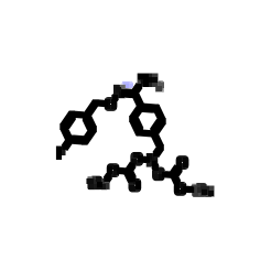 CC(C)(C)OC(=O)ON(Cc1ccc(/C(N)=N\OCc2ccc(F)cc2)cc1)OC(=O)OC(C)(C)C